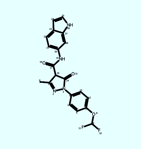 CC1=NN(c2ccc(OC(F)F)cc2)C(=O)C1C(=O)Nc1ccc2cc[nH]c2c1